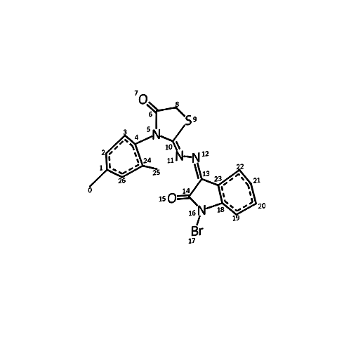 Cc1ccc(N2C(=O)CSC2=NN=C2C(=O)N(Br)c3ccccc32)c(C)c1